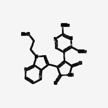 COCCn1cc(C2=C(c3cnc(OC)nc3OC)C(=O)NC2=O)c2cccnc21